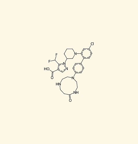 O=C1CCNCCN(c2ccc(-c3ccc(Cl)cc3N3CCCC(n4ncc(C(=O)O)c4C(F)F)C3)cc2)CCN1